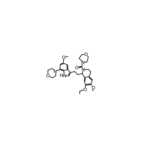 CCOc1cc2c(cc1OC)CCN(C(=O)N1CCOCC1)C2CCc1c[nH]c2c(N3CCOCC3)cc(OC)cc12